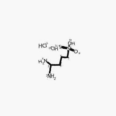 Cl.Cl.NC(N)CCCS(=O)(O)=S